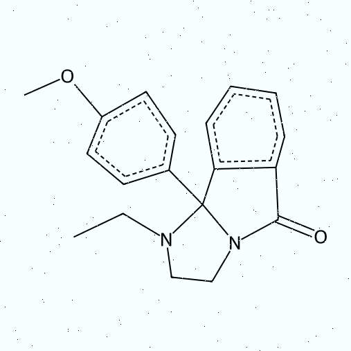 CCN1CCN2C(=O)c3ccccc3C12c1ccc(OC)cc1